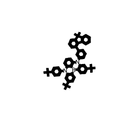 CC(C)(C)c1ccc(N2c3cc(C(C)(C)C)ccc3B3c4ccc(C(C)(C)C)cc4N(c4cccc(-c5cccc6c5-c5ccccc5C6(C)C)c4)c4cccc2c43)cc1